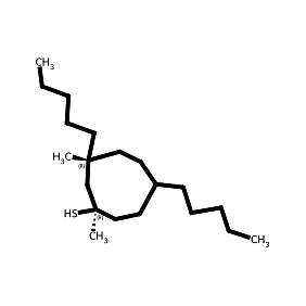 CCCCCC1CC[C@@](C)(S)C[C@](C)(CCCCC)CC1